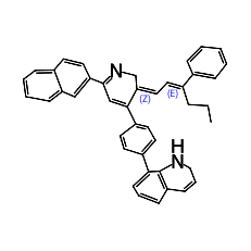 CCC/C(=C\C=C1/CN=C(c2ccc3ccccc3c2)C=C1c1ccc(-c2cccc3c2NCC=C3)cc1)c1ccccc1